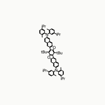 Cc1ccc(C(C)C)cc1N(c1ccc2cc3c(cc2c1)oc1c(C(C)(C)C)c2c(oc4cc5cc(N(c6cc(C(C)C)ccc6C)c6cc(C(C)C)ccc6C)ccc5cc42)c(C(C)(C)C)c13)c1cc(C(C)C)ccc1C